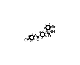 O=c1[nH]c2c(Br)cccc2n1[C@H]1CC[C@@H](C(=O)Nc2ccc(Cl)cc2)CC1